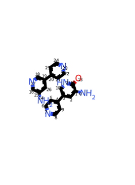 Nc1cc(-c2ccncc2)c[nH]c1=O.Nc1cncc(-c2ccncc2)c1